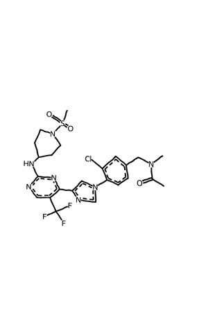 CC(=O)N(C)Cc1ccc(-n2cnc(-c3nc(NC4CCN(S(C)(=O)=O)CC4)ncc3C(F)(F)F)c2)c(Cl)c1